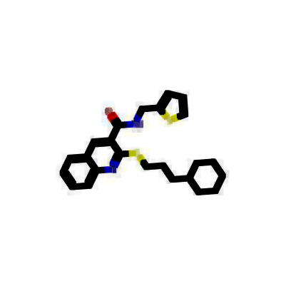 O=C(NCc1cccs1)c1cc2ccccc2nc1SCCCC1CCCCC1